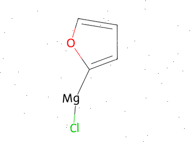 [Cl][Mg][c]1ccco1